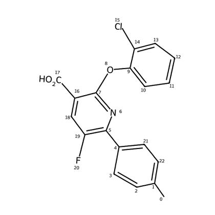 Cc1ccc(-c2nc(Oc3ccccc3Cl)c(C(=O)O)cc2F)cc1